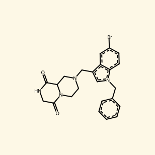 O=C1NCC(=O)N2CCN(Cc3cn(Cc4ccccc4)c4ccc(Br)cc34)CC12